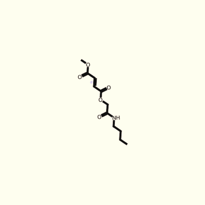 CCCCNC(=O)COC(=O)/C=C/C(=O)OC